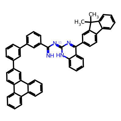 CC1(C)c2ccccc2-c2ccc(-c3n/c(=N/C(=N)c4cccc(-c5cccc(-c6ccc7c8ccccc8c8ccccc8c7c6)c5)c4)[nH]c4ccccc34)cc21